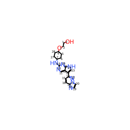 OCCOC1CCC(Nc2ncc3c(-c4ccc5nccn5n4)c[nH]c3n2)CC1